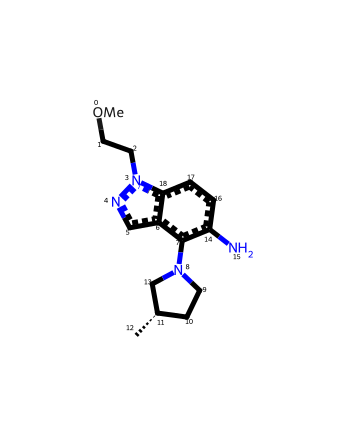 COCCn1ncc2c(N3CC[C@H](C)C3)c(N)ccc21